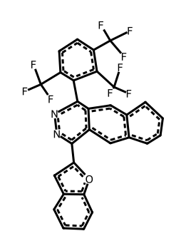 FC(F)(F)c1ccc(C(F)(F)F)c(C(F)(F)F)c1-c1nnc(-c2cc3ccccc3o2)c2cc3ccccc3cc12